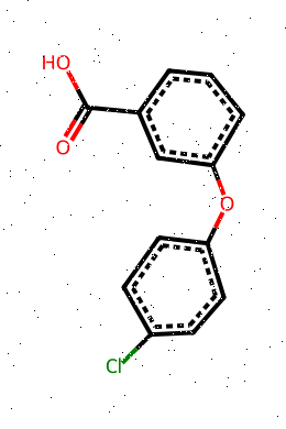 O=C(O)c1cccc(Oc2ccc(Cl)cc2)c1